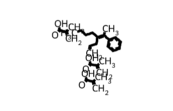 C=C(C)C(=O)O.C=C(C)C(=O)O.C=C(C)C(=O)O.C=CCC(CCCC)=C(C)c1ccccc1